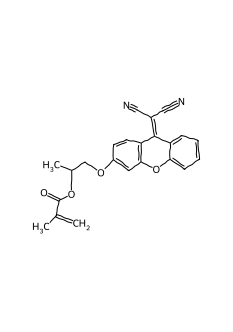 C=C(C)C(=O)OC(C)COc1ccc2c(c1)Oc1ccccc1C2=C(C#N)C#N